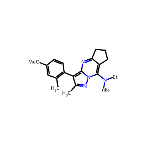 CCCCN(CC)c1c2c(nc3c(-c4ccc(OC)cc4C)c(C)nn13)CCC2